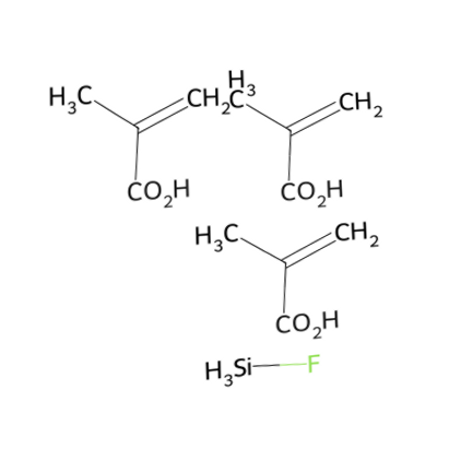 C=C(C)C(=O)O.C=C(C)C(=O)O.C=C(C)C(=O)O.F[SiH3]